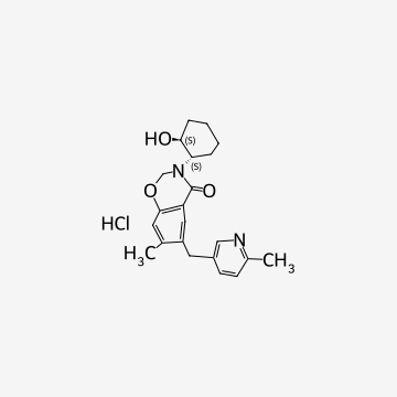 Cc1ccc(Cc2cc3c(cc2C)OCN([C@H]2CCCC[C@@H]2O)C3=O)cn1.Cl